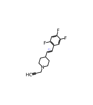 C#CCN1CCC(/C=C/c2cc(F)c(F)cc2F)CC1